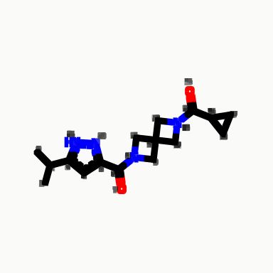 CC(C)c1cc(C(=O)N2CC3(C2)CN(C(=O)C2CC2)C3)n[nH]1